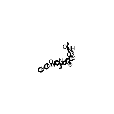 CCC(=O)NCC(=O)O[C@@H]1C(=O)OCc2c1cc1n(c2=O)Cc2c-1nc1ccc(OC(=O)N3CCC(N4CCCCC4)CC3)cc1c2CC